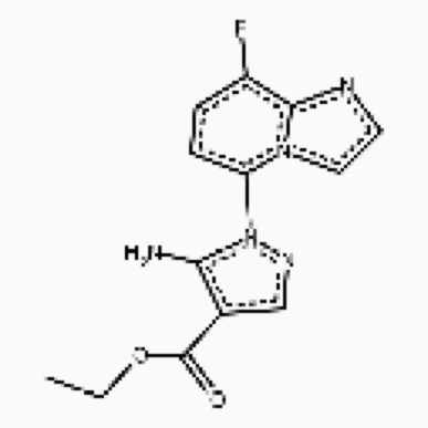 CCOC(=O)c1cnn(-c2ccc(F)c3nccn23)c1N